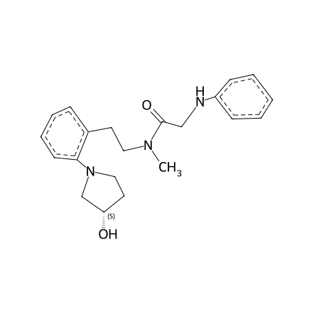 CN(CCc1ccccc1N1CC[C@H](O)C1)C(=O)CNc1ccccc1